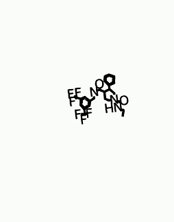 CCNC(=O)N1CCC(C(=O)N(C)Cc2cc(C(F)(F)F)cc(C(F)(F)F)c2)C(c2ccccc2)C1